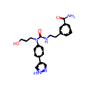 NC(=O)c1cccc(CCNC(=O)N(CCCO)c2ccc(-c3cn[nH]c3)cc2)c1